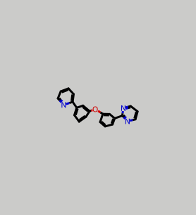 c1ccc(-c2cccc(Oc3cccc(-c4ncccn4)c3)c2)nc1